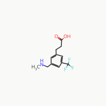 CNCc1cc(CCC(=O)O)cc(C(F)(F)F)c1